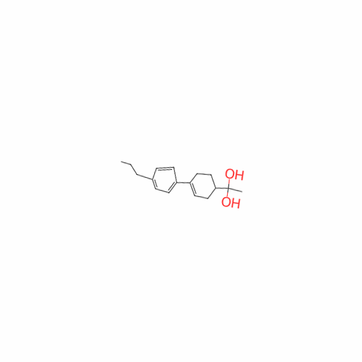 CCCc1ccc(C2=CCC(C(C)(O)O)CC2)cc1